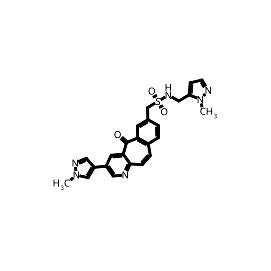 Cn1cc(-c2cnc3ccc4ccc(CS(=O)(=O)NCc5ccnn5C)cc4c(=O)c3c2)cn1